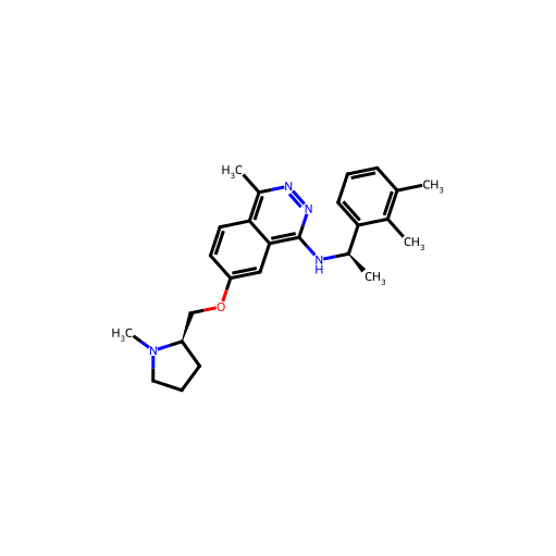 Cc1cccc([C@@H](C)Nc2nnc(C)c3ccc(OC[C@H]4CCCN4C)cc23)c1C